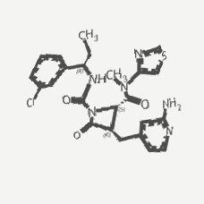 CC[C@@H](NC(=O)N1C(=O)[C@H](Cc2ccnc(N)c2)[C@H]1C(=O)N(C)c1cscn1)c1cccc(Cl)c1